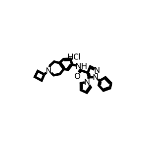 Cl.O=C(Nc1ccc2c(c1)CCN(C1CCC1)CC2)c1cnn(-c2ccccc2)c1-n1cccc1